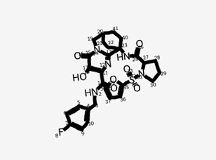 O=C(NCc1ccc(F)cc1)c1nc2n(c(=O)c1O)CC1CCC2(NC(=O)C2CCCN2S(=O)(=O)c2ccco2)CC1